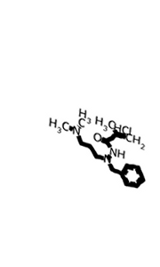 C=C(C)C(=O)NN(CCCN(C)C)Cc1ccccc1.Cl